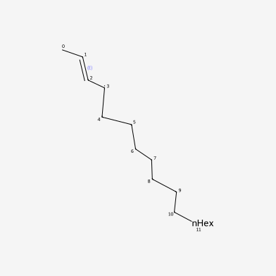 C/C=C/[CH]CCCCCCCCCCCCC